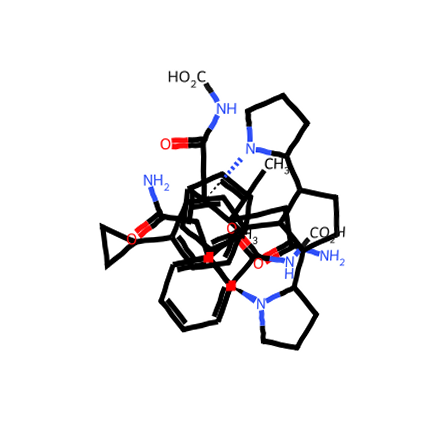 CC1(CC(N)=O)c2ccc(cc2)[C@]1(C(=O)NC(=O)O)N1CCCC1C1CCC(C2CCCN2[C@@]2(C(=O)NC(=O)O)c3ccc(cc3)C2(C)CC(N)=O)C1c1ccc(C2CC2)cc1